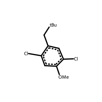 COc1cc(Cl)c(CC(C)(C)C)cc1Cl